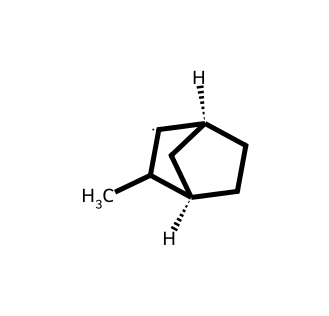 CC1[CH][C@H]2CC[C@@H]1C2